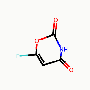 O=c1cc(F)oc(=O)[nH]1